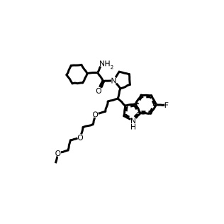 COCCOCCOCCC(c1c[nH]c2cc(F)ccc12)C1CCCN1C(=O)C(N)C1CCCCC1